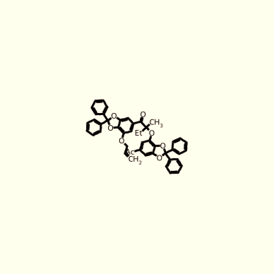 C=CCOc1cc(C(=O)C(C)(CC)Oc2cc(C(C)=O)cc3c2OC(c2ccccc2)(c2ccccc2)O3)cc2c1OC(c1ccccc1)(c1ccccc1)O2